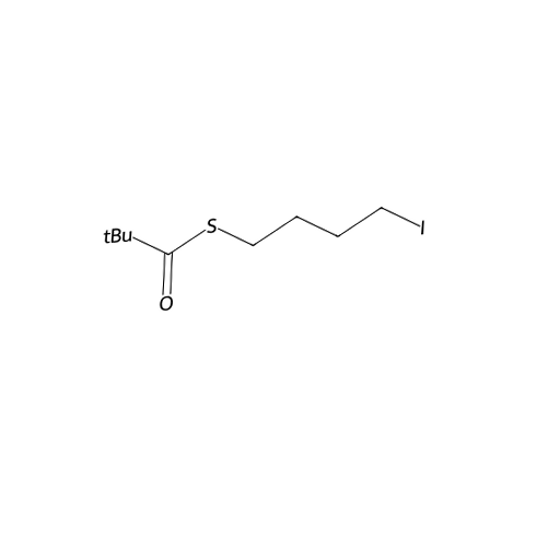 CC(C)(C)C(=O)SCCCCI